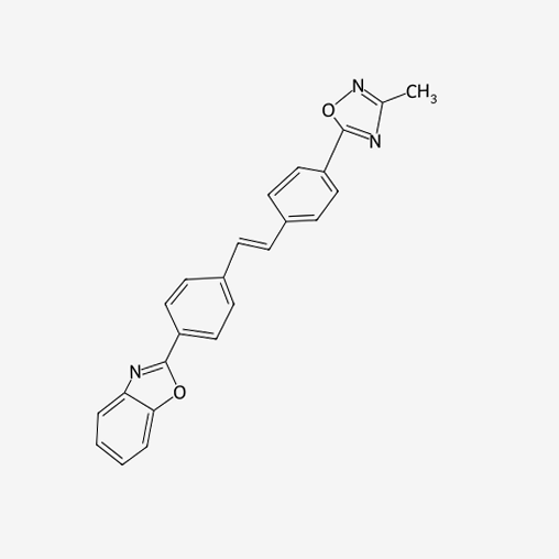 Cc1noc(-c2ccc(/C=C/c3ccc(-c4nc5ccccc5o4)cc3)cc2)n1